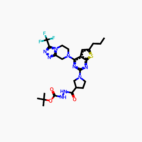 CCCc1cc2c(N3CCn4c(nnc4C(F)(F)F)C3)nc(N3CCC(C(=O)NNC(=O)OC(C)(C)C)C3)nc2s1